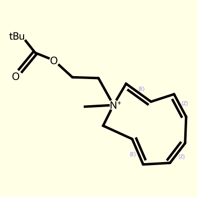 CC(C)(C)C(=O)OCC[N+]1(C)/C=C/C=C\C=C/C=C/C1